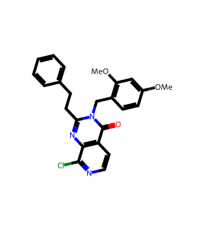 COc1ccc(Cn2c(CCc3ccccc3)nc3c(Cl)nccc3c2=O)c(OC)c1